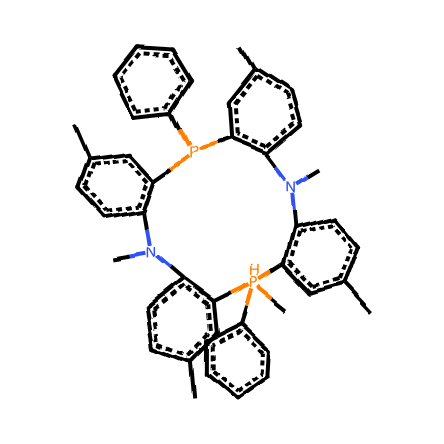 Cc1ccc2c(c1)P(c1ccccc1)c1cc(C)ccc1N(C)c1ccc(C)cc1[PH](C)(c1ccccc1)c1cc(C)ccc1N2C